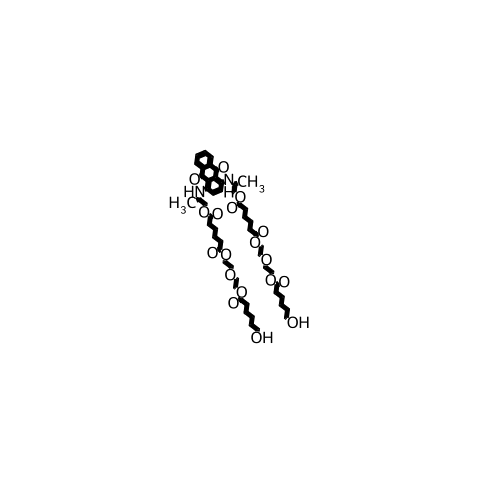 CC(COC(=O)CCCCC(=O)OCCOCCOC(=O)CCCCCO)Nc1ccc(NC(C)COC(=O)CCCCC(=O)OCCOCCOC(=O)CCCCCO)c2c1C(=O)c1ccccc1C2=O